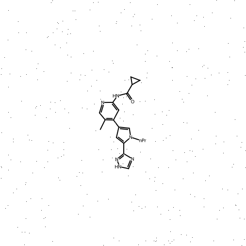 CCCn1cc(-c2cc(NC(=O)C3CC3)ncc2C)cc1-c1nc[nH]n1